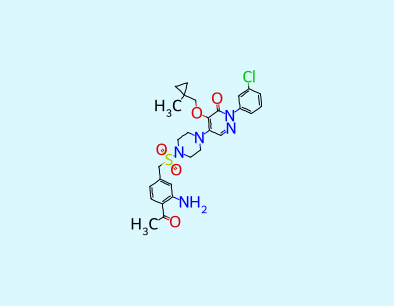 CC(=O)c1ccc(CS(=O)(=O)N2CCN(c3cnn(-c4cccc(Cl)c4)c(=O)c3OCC3(C)CC3)CC2)cc1N